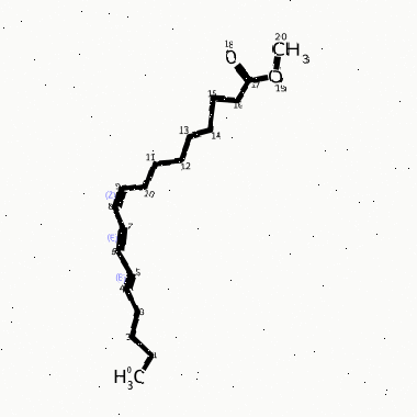 CCCC/C=C/C=C/C=C\CCCCCCCC(=O)OC